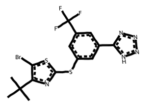 CC(C)(C)c1nc(Sc2cc(-c3nnn[nH]3)cc(C(F)(F)F)c2)sc1Br